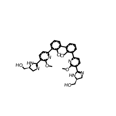 COc1nc(-c2cccc(-c3cccc(-c4ccc(C5=NC[C@@H](CO)N5)c(OC)n4)c3Cl)c2Cl)ccc1C1=NC[C@@H](CO)N1